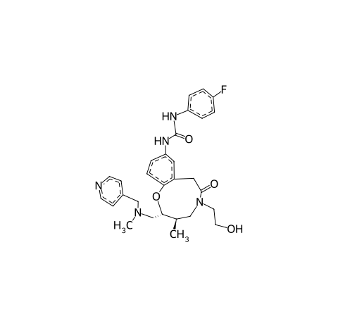 C[C@@H]1CN(CCO)C(=O)Cc2cc(NC(=O)Nc3ccc(F)cc3)ccc2O[C@H]1CN(C)Cc1ccncc1